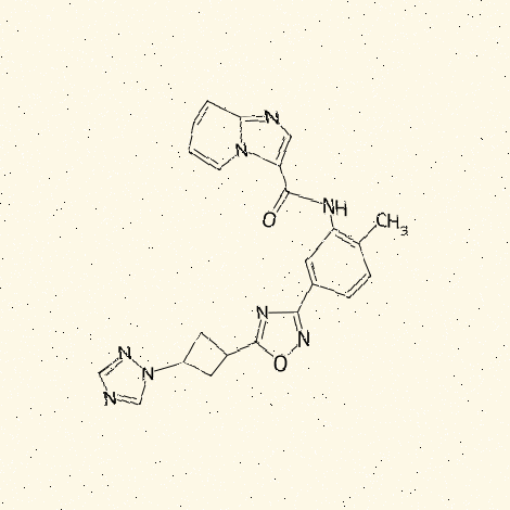 Cc1ccc(-c2noc(C3CC(n4cncn4)C3)n2)cc1NC(=O)c1cnc2ccccn12